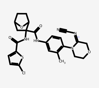 Cc1cc(NC(=O)C2(NC(=O)c3ccc(Cl)s3)CC3CCC2O3)ccc1N1CCOC/C1=N/C#N